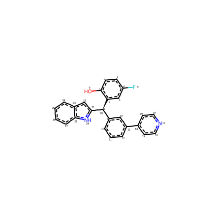 Oc1ccc(F)cc1[C@@H](c1c[c]cc(-c2ccncc2)c1)c1cc2ccccc2[nH]1